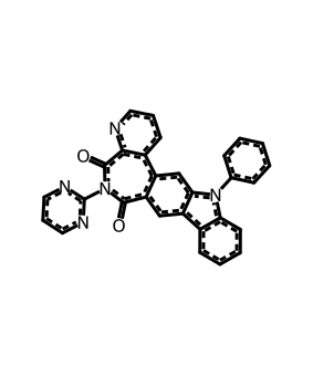 O=c1c2cc3c4ccccc4n(-c4ccccc4)c3cc2c2cccnc2c(=O)n1-c1ncccn1